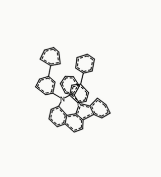 c1ccc(-c2cccc(N(c3cccc(-c4ccccc4)c3)c3cccc4ccc5c6ccccc6n(-c6ccccc6)c5c34)c2)cc1